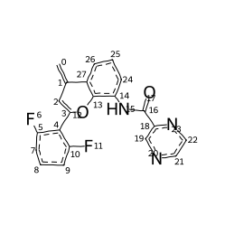 C=C1C=C(c2c(F)cccc2F)Oc2c(NC(=O)c3cnccn3)cccc21